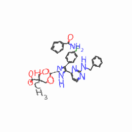 CC1(C(=O)O)COC(c2nc(-c3ccc(F)cc3)c(-c3ccnc(NCc4ccccc4)n3)[nH]2)OC1.NC(=O)c1ccccc1